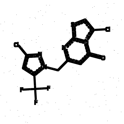 O=c1cc(Cn2nc(Cl)cc2C(F)(F)F)nc2scc(Cl)n12